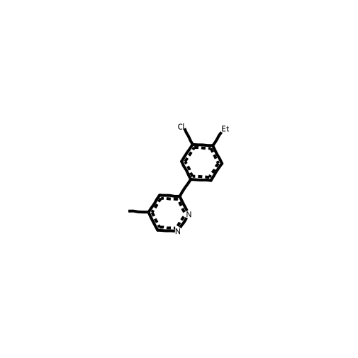 CCc1ccc(-c2cc(C)cnn2)cc1Cl